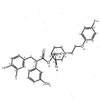 Cc1cccc(N(Cc2ccc(F)c(F)c2)C(=O)O[C@H]2C[N+]3(CCOc4ccc(F)cc4)CCC2CC3)c1